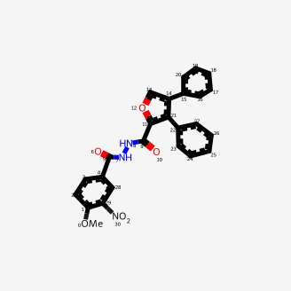 COc1ccc(C(=O)NNC(=O)c2occ(-c3ccccc3)c2-c2ccccc2)cc1[N+](=O)[O-]